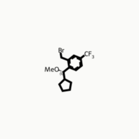 CO[C@H](c1ccc(C(F)(F)F)cc1CBr)C1CCCC1